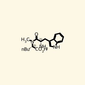 CCCC[C@@H](C(=O)O)N(C)C(=O)[C@@H](N)Cc1c[nH]c2ccccc12